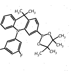 CC1(C)c2ccccc2N(c2cc(F)cc(F)c2)c2cc(B3OC(C)(C)C(C)(C)O3)ccc21